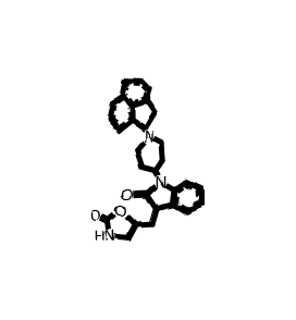 O=C1NCC(CC2C(=O)N(C3CCN(C4Cc5cccc6cccc4c56)CC3)c3ccccc32)O1